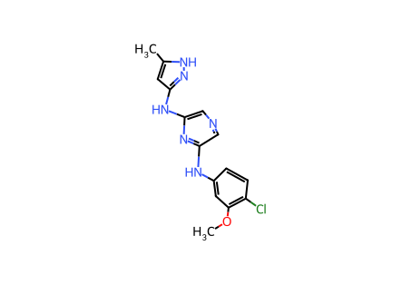 COc1cc(Nc2cncc(Nc3cc(C)[nH]n3)n2)ccc1Cl